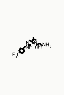 C=C(/N=C\C1=C(C)CN(C(CCC)CCN)C1)NCc1ccc(C(F)(F)F)cc1